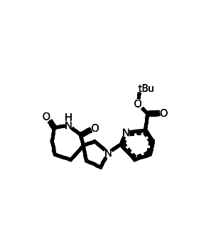 CC(C)(C)OC(=O)c1cccc(N2CCC3(CCCC(=O)NC3=O)C2)n1